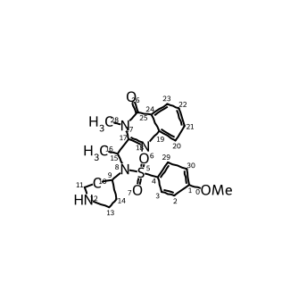 COc1ccc(S(=O)(=O)N(C2CCNCC2)C(C)c2nc3ccccc3c(=O)n2C)cc1